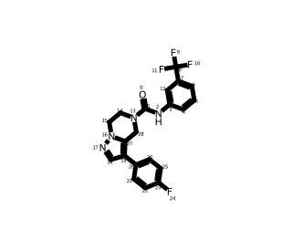 O=C(Nc1cccc(C(F)(F)F)c1)N1CCn2ncc(-c3ccc(F)cc3)c2C1